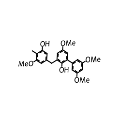 COc1cc(OC)cc(-c2cc(OC)cc(Cc3cc(O)c(C)c(OC)c3)c2O)c1